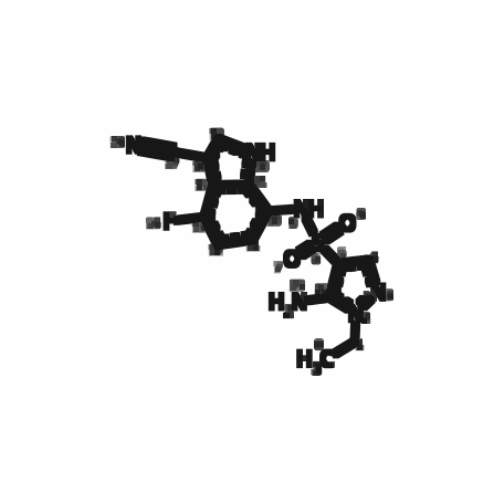 CCn1ncc(S(=O)(=O)Nc2ccc(F)c3c(C#N)c[nH]c23)c1N